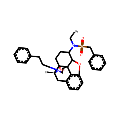 CC(C)CN(C1CC[C@@]2(O)[C@H]3Cc4cccc5c4[C@@]2(CCN3CCc2ccccc2)C1O5)S(=O)(=O)Cc1ccccc1